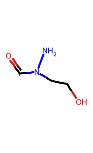 NN([C]=O)CCO